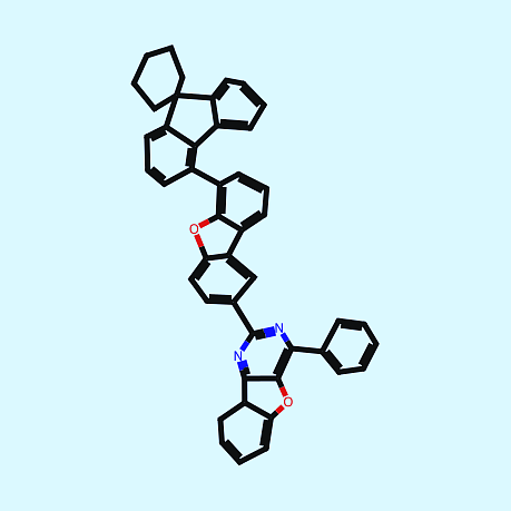 C1=CCC2C(=C1)Oc1c(-c3ccccc3)nc(-c3ccc4oc5c(-c6cccc7c6-c6ccccc6C76CCCCC6)cccc5c4c3)nc12